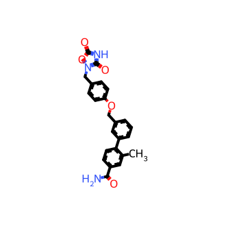 Cc1cc(C(N)=O)ccc1-c1cccc(COc2ccc(Cn3oc(=O)[nH]c3=O)cc2)c1